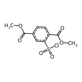 COC(=O)c1ccc(C(=O)OC)c(S(=O)(=O)Cl)c1